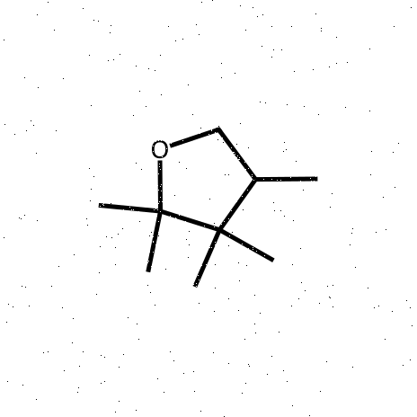 CC1COC(C)(C)C1(C)C